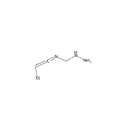 CCC=C=NCNN